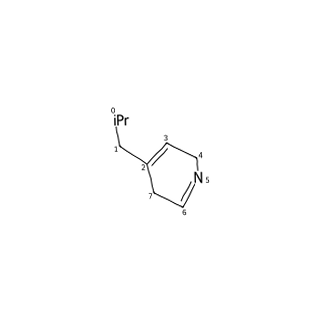 CC(C)CC1=CCN=CC1